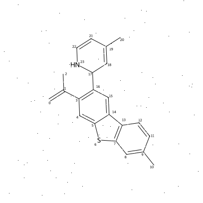 C=C(C)c1cc2sc3cc(C)ccc3c2cc1C1C=C(C)C=CN1